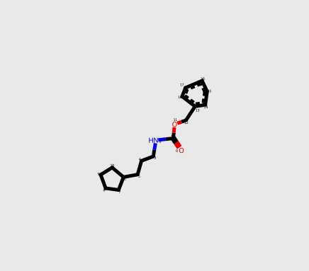 O=C(NCCCC1CCCC1)OCc1ccccc1